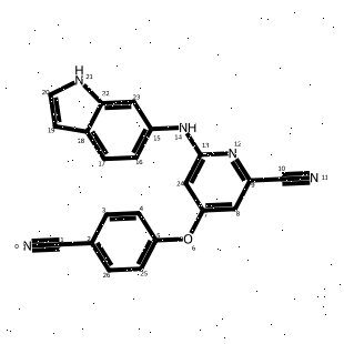 N#Cc1ccc(Oc2cc(C#N)nc(Nc3ccc4cc[nH]c4c3)c2)cc1